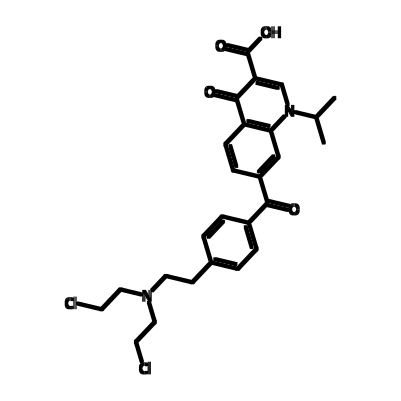 CC(C)n1cc(C(=O)O)c(=O)c2ccc(C(=O)c3ccc(CCN(CCCl)CCCl)cc3)cc21